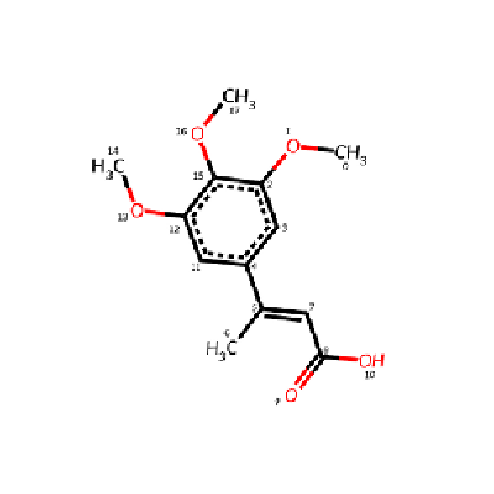 COc1cc(C(C)=CC(=O)O)cc(OC)c1OC